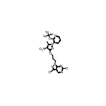 [2H]C([2H])([2H])Oc1ncccc1-n1nc(OCCCn2nc(Cl)c3cnc(Cl)nc32)c([N+](=O)[O-])c1C